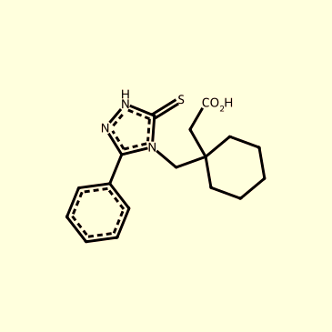 O=C(O)CC1(Cn2c(-c3ccccc3)n[nH]c2=S)CCCCC1